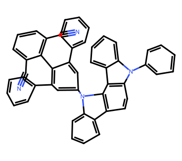 N#Cc1cccc(C#N)c1-c1c(-c2ccccc2)cc(-n2c3ccccc3c3ccc4c(c5ccccc5n4-c4ccccc4)c32)cc1-c1ccccc1